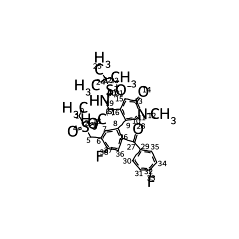 CCS(=O)(=O)Cc1cc(-c2cn(C)c(=O)cc2[C@H](C)N[S@@+]([O-])C(C)(C)C)c(C(=O)c2ccc(F)cc2)cc1F